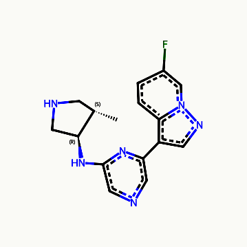 C[C@H]1CNC[C@@H]1Nc1cncc(-c2cnn3cc(F)ccc23)n1